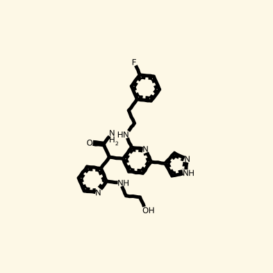 NC(=O)C(c1cccnc1NCCO)c1ccc(-c2cn[nH]c2)nc1NCCc1cccc(F)c1